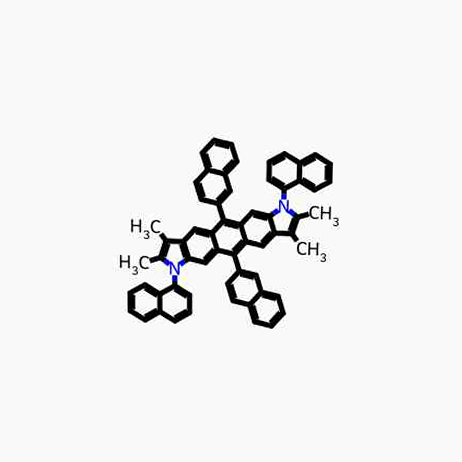 Cc1c(C)n(-c2cccc3ccccc23)c2cc3c(-c4ccc5ccccc5c4)c4cc5c(C)c(C)n(-c6cccc7ccccc67)c5cc4c(-c4ccc5ccccc5c4)c3cc12